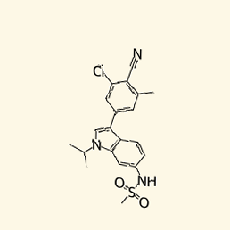 Cc1cc(-c2cn(C(C)C)c3cc(NS(C)(=O)=O)ccc23)cc(Cl)c1C#N